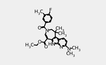 CCOC(=O)C1=CN(C(=O)c2ccc(F)c(C)c2)CC(C)(C)c2c1[nH]c1nc(N(C)C)ccc21